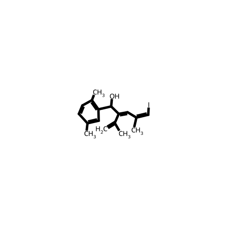 C=C(C)/C(=C\C(C)=C/I)C(O)c1cc(C)ccc1C